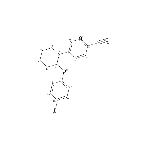 C#Cc1ccc(N2CCCCC2Oc2ccc(F)cc2)nn1